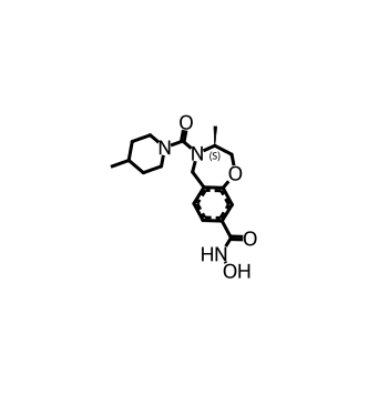 CC1CCN(C(=O)N2Cc3ccc(C(=O)NO)cc3OC[C@@H]2C)CC1